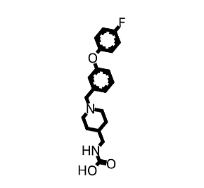 O=C(O)NCC1CCN(Cc2cccc(Oc3ccc(F)cc3)c2)CC1